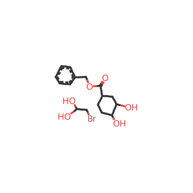 O=C(OCc1ccccc1)C1CCC(O)C(O)C1.OC(O)CBr